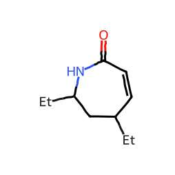 CCC1C=CC(=O)NC(CC)C1